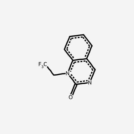 O=c1ncc2ccccc2n1CC(F)(F)F